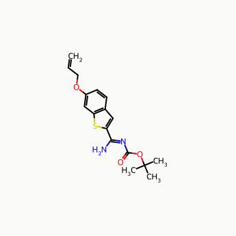 C=CCOc1ccc2cc(/C(N)=N/C(=O)OC(C)(C)C)sc2c1